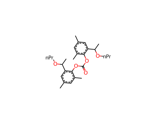 CCCOC(C)c1cc(C)cc(C)c1OC(=O)Oc1c(C)cc(C)cc1C(C)OCCC